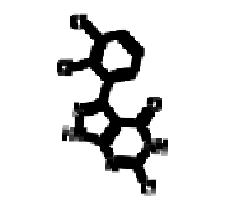 O=c1[nH]c(Cl)nc2[nH]nc(-c3cccc(Cl)c3Cl)c12